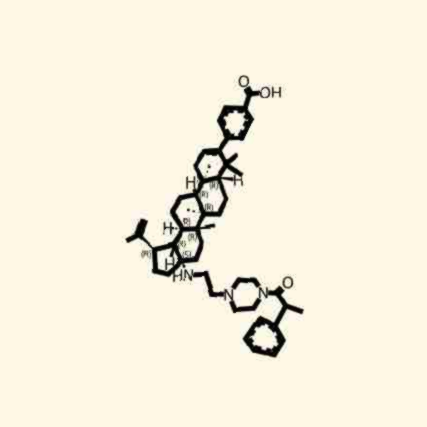 C=C(C)[C@@H]1CC[C@]2(NCCN3CCN(C(=O)C(C)c4ccccc4)CC3)CC[C@]3(C)[C@H](CC[C@@H]4[C@@]5(C)CC=C(c6ccc(C(=O)O)cc6)C(C)(C)[C@@H]5CC[C@]43C)[C@@H]12